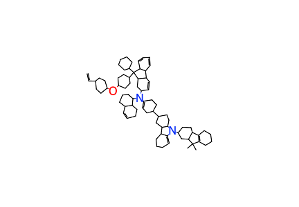 C=CC1CCC(OC2CCC(C3(C4CCCCC4)C4C=CC=CC4C4C=CC(N(C5=CCC(C6CCC7C(C6)C6CCCC=C6N7C6CCC7C8=C(CCCC8)C(C)(C)C7C6)CC5)C5CCCC6C=CCCC65)CC43)CC2)CC1